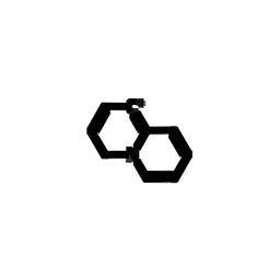 [C+]1=C2C=CC=CN2CC=C1